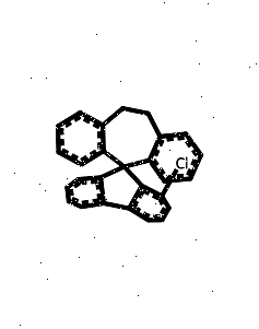 Clc1cccc2c1C1(c3ccccc3CCc3ccccc31)c1ccccc1-2